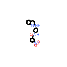 O=C(N[C@H]1CC[C@@H](Nc2ccc3ccccc3n2)CC1)c1cccc([N+](=O)[O-])c1